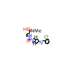 CNC(O)c1ccn(C(=O)N2C[C@H]3CC(N(C)Cc4ccccc4Cl)C[C@H]3C2)n1